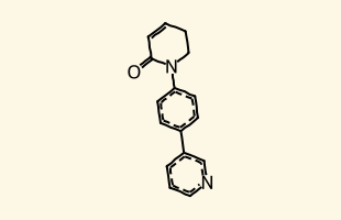 O=C1C=CCCN1c1ccc(-c2cccnc2)cc1